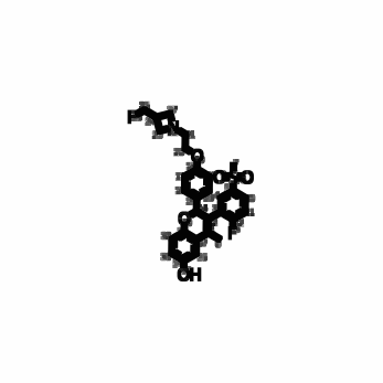 CC1=C(c2cc(S(C)(=O)=O)ccc2F)C(c2ccc(OCCN3CC(CF)C3)cc2)Oc2ccc(O)cc21